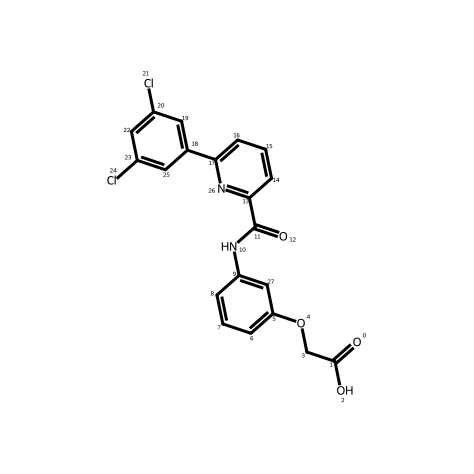 O=C(O)COc1cccc(NC(=O)c2cccc(-c3cc(Cl)cc(Cl)c3)n2)c1